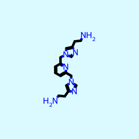 NCCc1cn(Cc2cccc(Cn3cnc(CCN)c3)n2)cn1